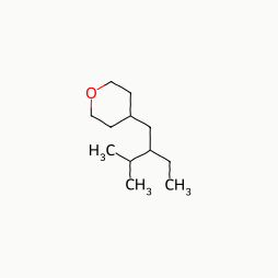 CCC(CC1CCOCC1)C(C)C